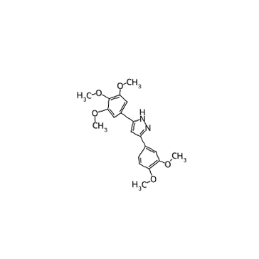 COc1ccc(-c2cc(-c3cc(OC)c(OC)c(OC)c3)[nH]n2)cc1OC